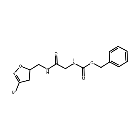 O=C(CNC(=O)OCc1ccccc1)NCC1CC(Br)=NO1